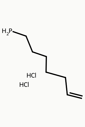 C=CCCCCCP.Cl.Cl